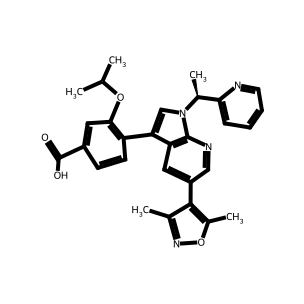 Cc1noc(C)c1-c1cnc2c(c1)c(-c1ccc(C(=O)O)cc1OC(C)C)cn2[C@@H](C)c1ccccn1